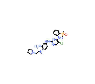 CN(CCN1CCCC1)c1ccc(Nc2ncc(Cl)c(Nc3ccccc3P(C)(C)=O)n2)cc1N